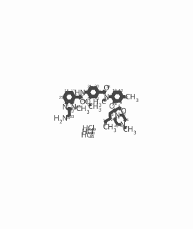 CCCCC(C=O)(Oc1cc(C)ccc1N(C)C(=O)c1ccc(NC(=O)c2cccc3nc(CN)n(C)c23)c(OC)c1)N1CCN(C)CC1.Cl.Cl.Cl